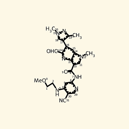 COCCNc1cc(NC(=O)c2cn(C)c3cc(-c4cn(C)nc4C)c(C=O)nc23)ncc1C#N